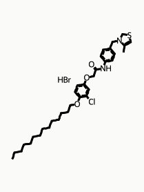 Br.CCCCCCCCCCCCCCOc1ccc(OCC(=O)Nc2ccc(CN3CSC=C3C)cc2)cc1Cl